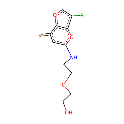 OCCOCCNc1cc(=S)c2occ(Br)c2o1